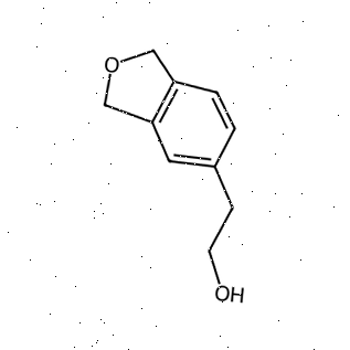 OCCc1ccc2c(c1)COC2